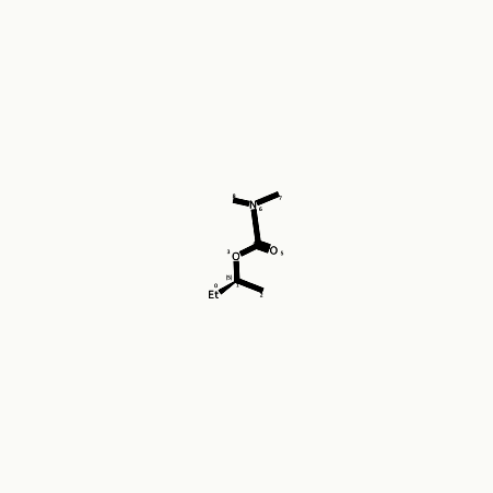 CC[C@H](C)OC(=O)N(C)C